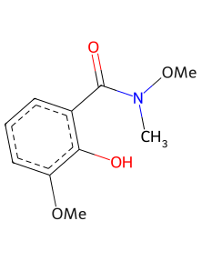 COc1cccc(C(=O)N(C)OC)c1O